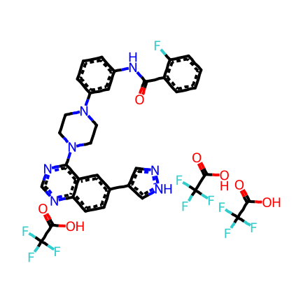 O=C(Nc1cccc(N2CCN(c3ncnc4ccc(-c5cn[nH]c5)cc34)CC2)c1)c1ccccc1F.O=C(O)C(F)(F)F.O=C(O)C(F)(F)F.O=C(O)C(F)(F)F